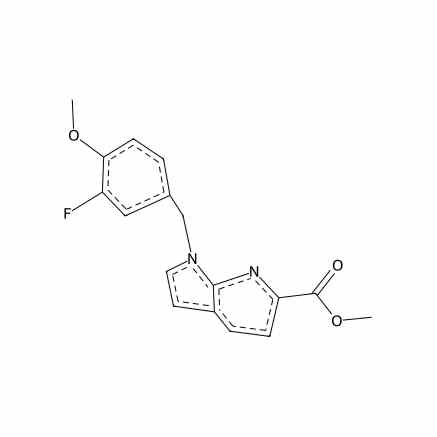 COC(=O)c1ccc2ccn(Cc3ccc(OC)c(F)c3)c2n1